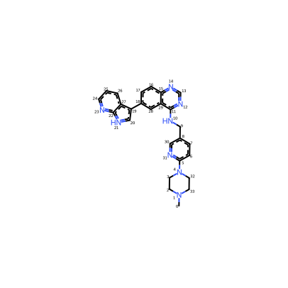 CN1CCN(c2ccc(CNc3ncnc4ccc(-c5c[nH]c6ncccc56)cc34)cn2)CC1